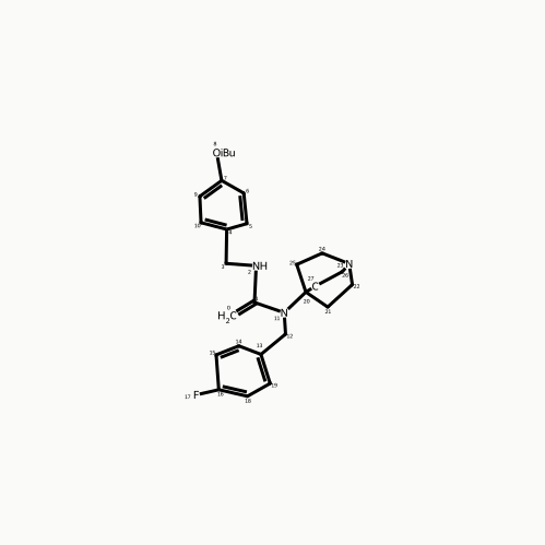 C=C(NCc1ccc(OCC(C)C)cc1)N(Cc1ccc(F)cc1)C12CCN(CC1)CC2